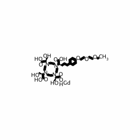 CCOCCOCCOc1ccc(CCC[C@H](C(=O)O)N2CCN([C@H](CO)C(=O)O)CCN([C@H](CO)C(=O)O)CCN([C@H](CO)C(=O)O)CC2)cc1.[Gd]